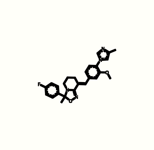 COc1cc(C=C2CCCN3C2=NOC3(C)c2ccc(F)cc2)ccc1-n1cnc(C)c1